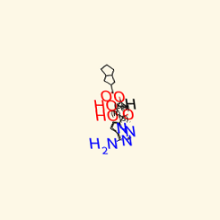 C[C@@]1(c2ccc3c(N)ncnn23)O[C@@H]2C(OC(=O)C3CC4CCCC4C3)[C@]2(O)[C@H]1O